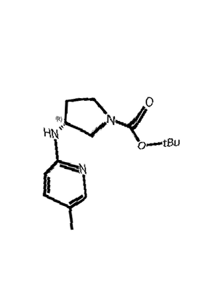 Cc1ccc(N[C@@H]2CCN(C(=O)OC(C)(C)C)C2)nc1